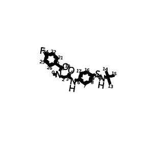 CN(CC(=O)Nc1ccc(SNC(C)(C)C)cc1)C(=O)c1ccc(F)cc1